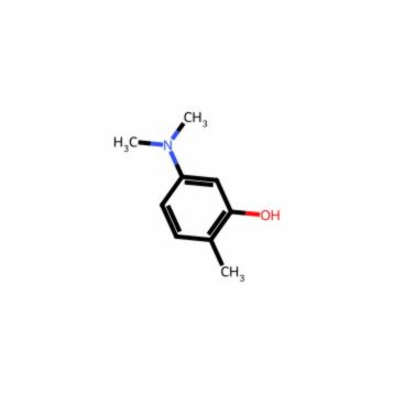 Cc1ccc(N(C)C)cc1O